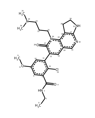 CCNC(=O)c1cc(OC)cc(-c2cc3cnc4c(c3n(CCCN(C)C)c2=O)CCN4)c1Cl